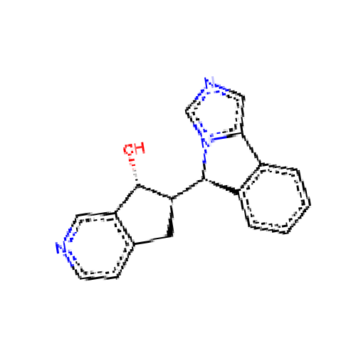 O[C@H]1c2cnccc2C[C@@H]1[C@@H]1c2ccccc2-c2cncn21